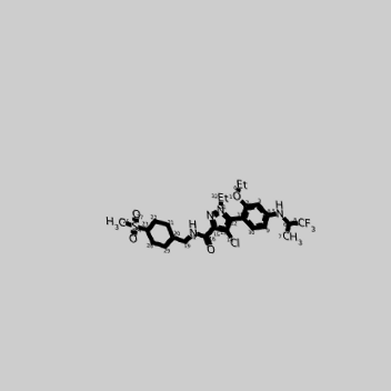 CCOc1cc(NC(C)C(F)(F)F)ccc1-c1c(Cl)c(C(=O)NCC2CCC(S(C)(=O)=O)CC2)nn1CC